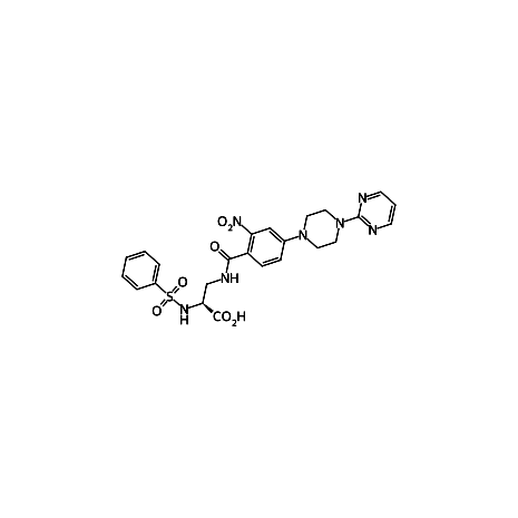 O=C(NC[C@H](NS(=O)(=O)c1ccccc1)C(=O)O)c1ccc(N2CCN(c3ncccn3)CC2)cc1[N+](=O)[O-]